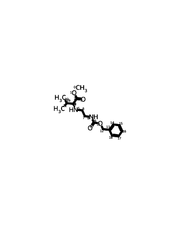 COC(=O)[C@@H](NCCNC(=O)OCc1ccccc1)C(C)C